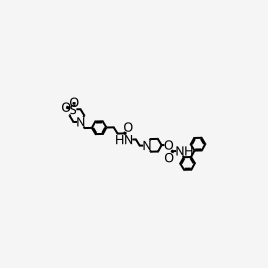 O=C(CCc1ccc(CN2CCS(=O)(=O)CC2)cc1)NCCN1CCC(OC(=O)Nc2ccccc2-c2ccccc2)CC1